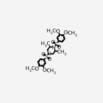 COc1ccc(S(=O)(=O)N2CC(C)N(S(=O)(=O)c3ccc(OC)c(OC)c3)[C@H](C)C2)cc1OC